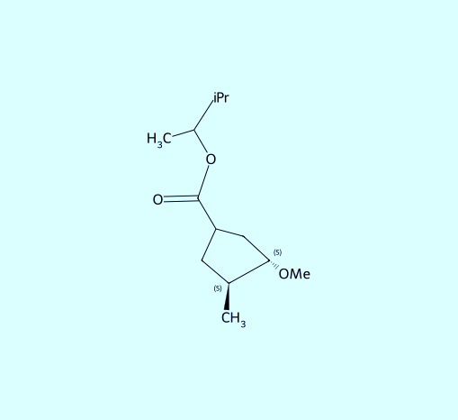 CO[C@H]1CC(C(=O)OC(C)C(C)C)C[C@@H]1C